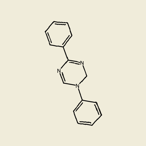 C1=NC(c2ccccc2)=NCN1c1ccccc1